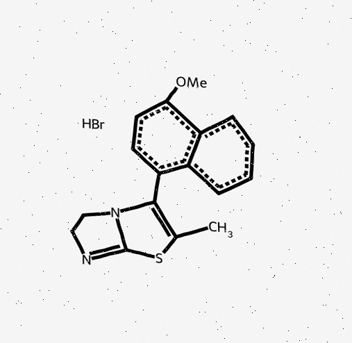 Br.COc1ccc(C2=C(C)SC3=NCCN32)c2ccccc12